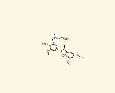 C/C=C/c1cc(OC)c2c(c1)[C@H](C)[C@@H](c1cc(CN(C)CCO)c(O)c(OC)c1)O2